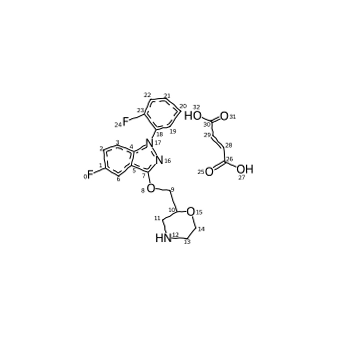 Fc1ccc2c(c1)c(OCC1CNCCO1)nn2-c1ccccc1F.O=C(O)C=CC(=O)O